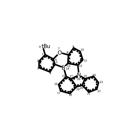 CC(C)(C)c1cccc2c1Oc1cccc3c1B2c1cccc2c4ccccc4n-3c12